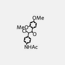 COc1ccc(C(=O)C(Cl)c2ccc(NC(C)=O)cc2)c(OC)c1